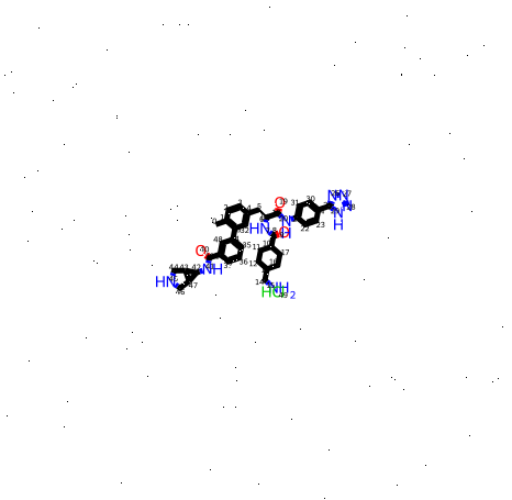 Cc1ccc(C[C@H](NC(=O)C2CCC(CN)CC2)C(=O)Nc2ccc(-c3nnn[nH]3)cc2)cc1-c1cccc(C(=O)NC2C3CNCC32)c1.Cl